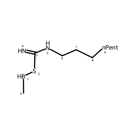 CBSC(=N)NCCCCCCCC